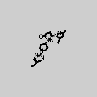 CCc1cnc(N2CCC(n3nc(-n4nc(C)cc4C)ccc3=O)CC2)nc1